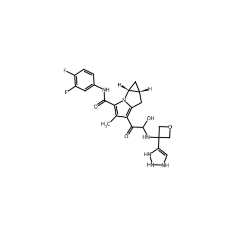 Cc1c(C(=O)C(O)NC2(C3=CNNN3)COC2)c2n(c1C(=O)Nc1ccc(F)c(F)c1)[C@@H]1C[C@@H]1C2